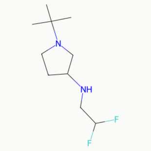 CC(C)(C)N1CCC(NCC(F)F)C1